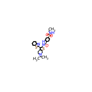 CCNS(=O)(=O)c1ccc(C(=O)Nc2sc3c(c2-c2nc4ccccc4s2)CCN(C(C)C)C3)cc1